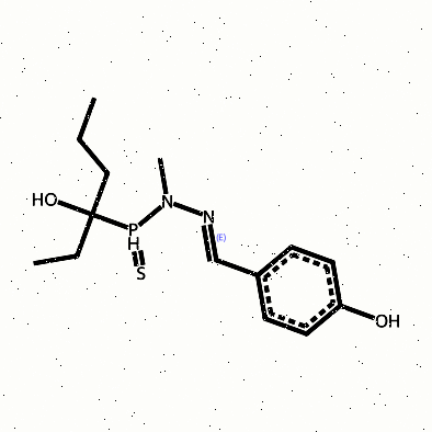 CCCC(O)(CC)[PH](=S)N(C)/N=C/c1ccc(O)cc1